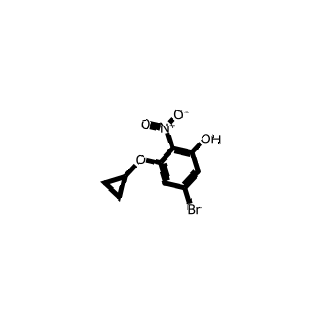 O=[N+]([O-])c1c(O)cc(Br)cc1OC1CC1